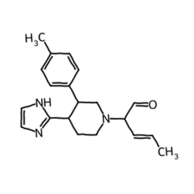 CC=CC(C=O)N1CCC(c2ncc[nH]2)C(c2ccc(C)cc2)C1